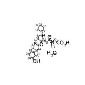 CC1CN(CC(CCc2ccccc2)C(=O)NCC(=O)NCC(=O)O)CCC1(C)c1cccc(O)c1.O